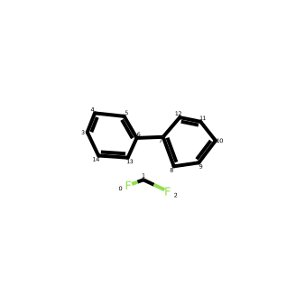 FCF.c1ccc(-c2ccccc2)cc1